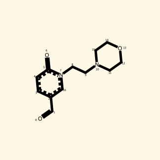 O=Cc1ccc(=O)n(CCN2CCOCC2)c1